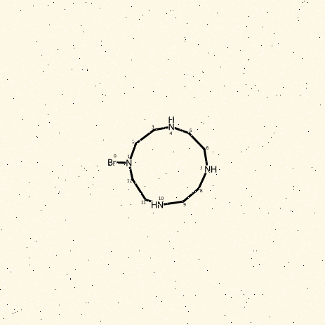 BrN1CCNCCNCCNCC1